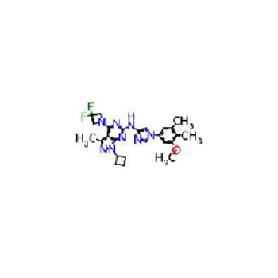 COc1cc(-n2cnc(Nc3nc(N4CC(F)(F)C4)c4c(C)nn(C5CCC5)c4n3)c2)cc(C)c1C